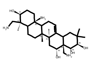 B[C@]12CC[C@H](O)[C@](C)(CN)C1CC[C@]1(C)C2CC=C2C3CC(C)(C)[C@@H](O)[C@H](O)[C@]3(CN)[C@H](O)C[C@]21C